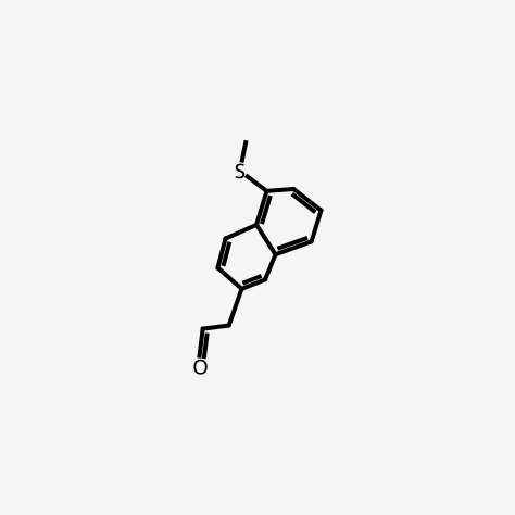 CSc1cccc2cc(CC=O)ccc12